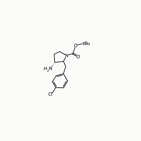 CC(C)(C)OC(=O)N1CC[C@@H](N)C1Cc1ccc(Cl)cc1